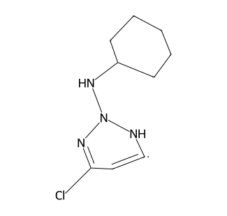 ClC1=NN(NC2CCCCC2)N[C]=C1